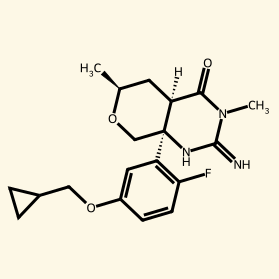 C[C@H]1C[C@H]2C(=O)N(C)C(=N)N[C@@]2(c2cc(OCC3CC3)ccc2F)CO1